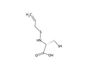 C=CCSN[C@H](CS)C(=O)O